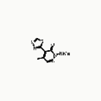 CNn1ncc(C)c(-c2nncs2)c1=O